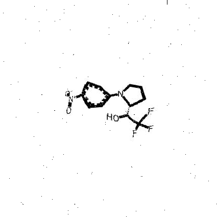 O=[N+]([O-])c1ccc(N2CCC[C@@H]2C(O)C(F)(F)F)cc1